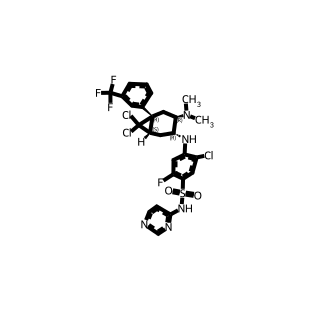 CN(C)[C@@H]1C[C@]2(c3cccc(C(F)(F)F)c3)[C@H](C[C@H]1Nc1cc(F)c(S(=O)(=O)Nc3ccncn3)cc1Cl)C2(Cl)Cl